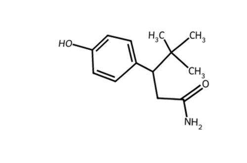 CC(C)(C)C(CC(N)=O)c1ccc(O)cc1